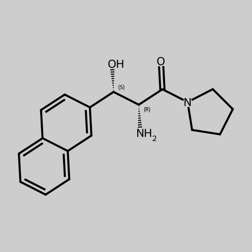 N[C@@H](C(=O)N1CCCC1)[C@@H](O)c1ccc2ccccc2c1